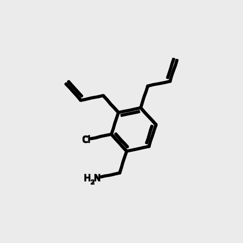 C=CCc1ccc(CN)c(Cl)c1CC=C